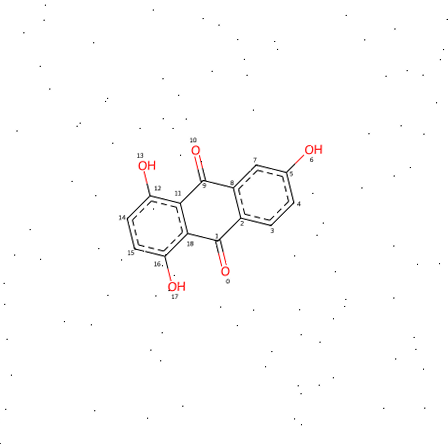 O=C1c2ccc(O)cc2C(=O)c2c(O)ccc(O)c21